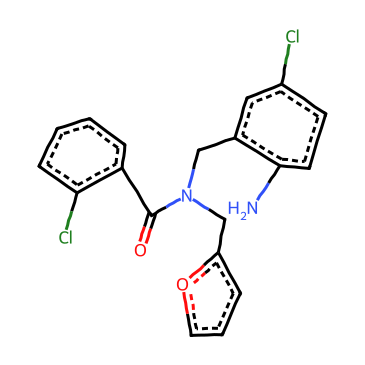 Nc1ccc(Cl)cc1CN(Cc1ccco1)C(=O)c1ccccc1Cl